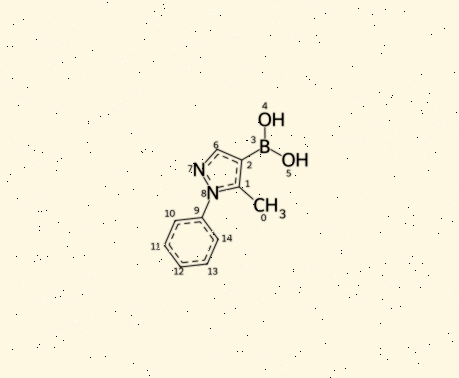 Cc1c(B(O)O)cnn1-c1ccccc1